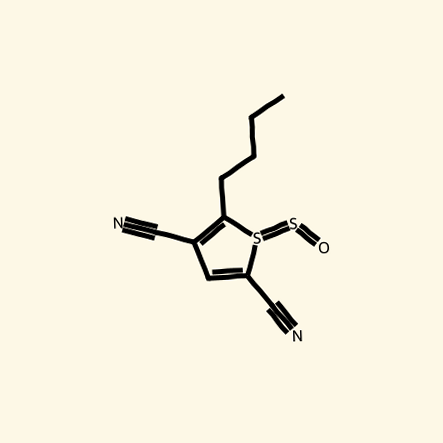 CCCCC1=C(C#N)C=C(C#N)S1=S=O